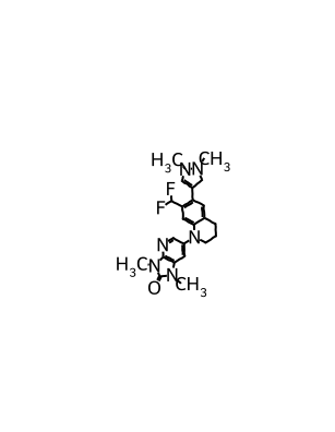 CN1C=C(c2cc3c(cc2C(F)F)N(c2cnc4c(c2)n(C)c(=O)n4C)CCC3)CN1C